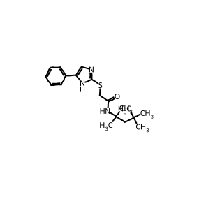 CC(C)(C)CC(C)(C)NC(=O)CSc1ncc(-c2ccccc2)[nH]1